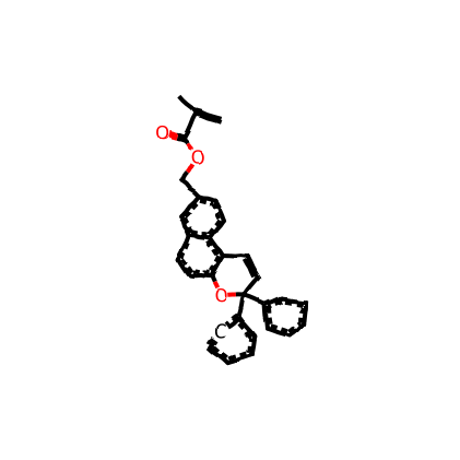 C=C(C)C(=O)OCc1ccc2c3c(ccc2c1)OC(c1ccccc1)(c1ccccc1)C=C3